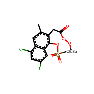 CCCCOOC(=O)Cc1c(C)cc2c(Cl)cc(F)cc2c1OS(=O)(=O)C(F)(F)F